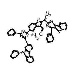 C=Cc1c(C(=C)c2nc(-c3ccccc3)c3sc4ccccc4c3n2)oc2ccc(-c3nc(-c4ccccc4)nc(-c4ccc5c6ccccc6n(-c6ccccc6)c5c4)n3)cc12